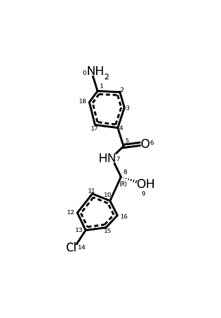 Nc1ccc(C(=O)N[C@H](O)c2ccc(Cl)cc2)cc1